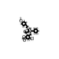 COc1ccc(CSc2nc(-c3ccccc3)n(Cc3cc4c(cc3Cl)OCO4)c2C=O)cc1